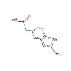 COC(=O)Cc1ccc2[nH]c(N)cc2c1